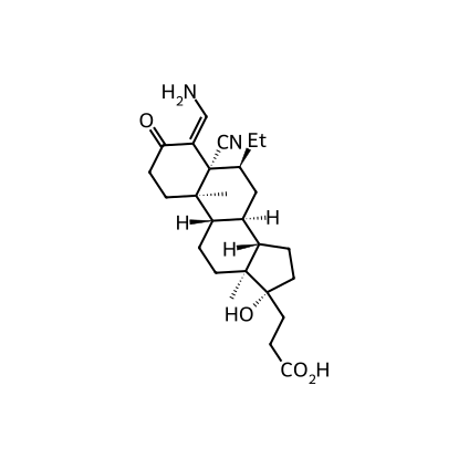 CC[C@H]1C[C@H]2[C@@H]3CC[C@@](O)(CCC(=O)O)[C@@]3(C)CC[C@@H]2[C@@]2(C)CCC(=O)C(=CN)[C@@]12C#N